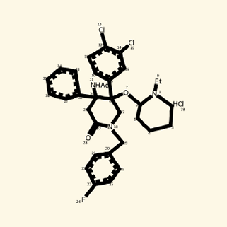 CCN1CCCCC1OC1(c2ccc(Cl)c(Cl)c2)CN(Cc2ccc(F)cc2)C(=O)CC1(NC(C)=O)c1ccccc1.Cl